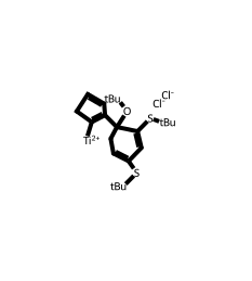 CC(C)(C)OC1(C2=[C]([Ti+2])CC=C2)CC=C(SC(C)(C)C)C=C1SC(C)(C)C.[Cl-].[Cl-]